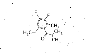 CCc1cc(F)c(F)c(C)c1C(=O)C(C)C